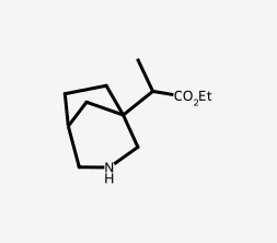 CCOC(=O)C(C)C12CCC(CNC1)C2